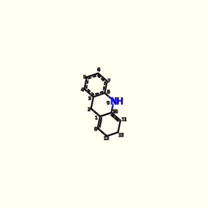 C1=C2Cc3ccccc3NC2=CCC1